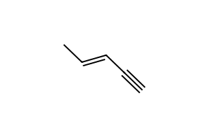 C#CC=CC